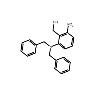 O=[N+]([O-])c1cccc(N(Cc2ccccc2)Cc2ccccc2)c1CO